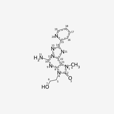 Cn1c(=O)n(CCO)c2nc(N)n3nc(-c4ccccn4)nc3c21